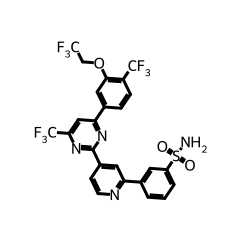 NS(=O)(=O)c1cccc(-c2cc(-c3nc(-c4ccc(C(F)(F)F)c(OCC(F)(F)F)c4)cc(C(F)(F)F)n3)ccn2)c1